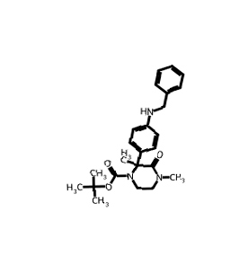 CN1CCN(C(=O)OC(C)(C)C)C(C)(c2ccc(NCc3ccccc3)cc2)C1=O